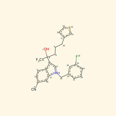 [C-]#[N+]c1ccc2c(C(O)(CCCc3ccsc3)C(F)(F)F)cn(Cc3cccc(F)c3)c2c1